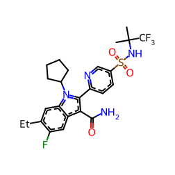 CCc1cc2c(cc1F)c(C(N)=O)c(-c1ccc(S(=O)(=O)NC(C)(C)C(F)(F)F)cn1)n2C1CCCC1